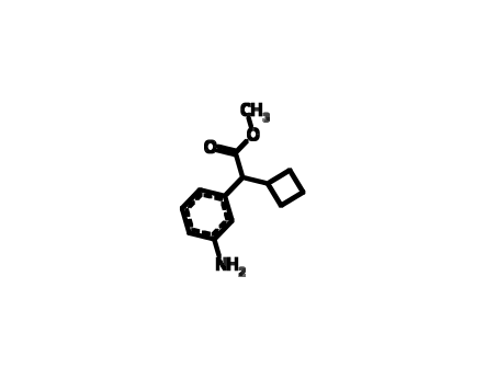 COC(=O)C(c1cccc(N)c1)C1CCC1